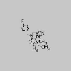 CCC(C)(C)C1C(=O)N(Cc2ccc(F)cc2)Cc2cncn21